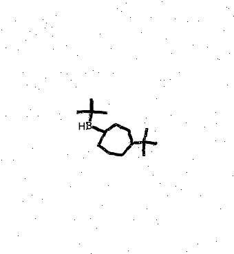 CC(C)(C)BC1CCCC(C(C)(C)C)CC1